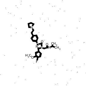 COc1cc(-c2nn(-c3ccc(CCN4CCCC4)cc3)c(=O)n2CC(=O)NC(C)C)ccc1F